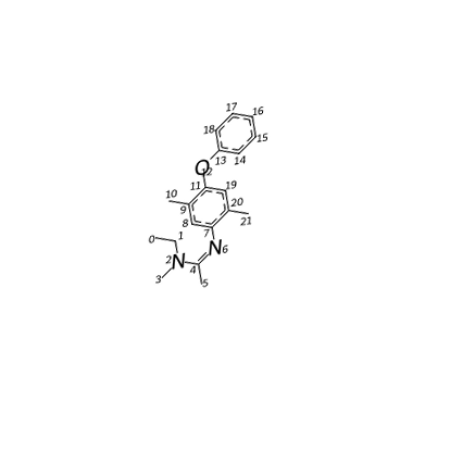 CCN(C)C(C)=Nc1cc(C)c(Oc2ccccc2)cc1C